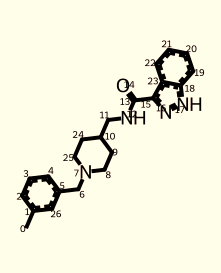 Cc1cccc(CN2CCC(CNC(=O)c3n[nH]c4ccccc34)CC2)c1